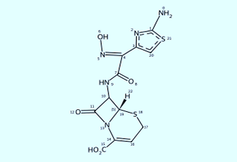 Nc1nc(C(=NO)C(=O)NC2C(=O)N3C(C(=O)O)=CCS[C@@H]23)cs1